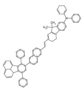 CC1(C)C2=C(CCC(/C=C/c3ccc4cc(-c5cc(-c6ccccc6)c6c(c5-c5ccccc5)C5=CC=CC7=CC=CC6C75)ccc4c3)=C2)c2ccc(N(C3=CCCC=C3)c3ccccc3)cc21